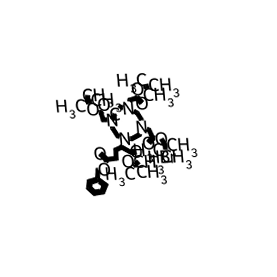 Br.CC(C)(C)OC(=O)CN1CCN(CC(=O)OC(C)(C)C)CCN(C(CCC(=O)OCc2ccccc2)C(=O)OC(C)(C)C)CCN(CC(=O)OC(C)(C)C)CC1